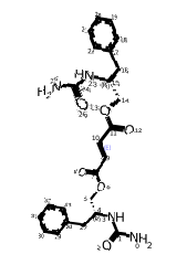 NC(=O)N[C@@H](COC(=O)/C=C/C(=O)OC[C@@H](Cc1ccccc1)NC(N)=O)Cc1ccccc1